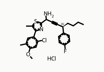 CCCC[C@H](C#CC(N)c1nc(-c2cc(C)c(OC)cc2Cl)c(C)s1)c1ccc(F)cc1.Cl